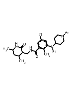 CCN(c1cc(Cl)cc(C(=O)NCC2C(=O)NC(C)CC2C)c1C)C1CCN(C(C)=O)CC1